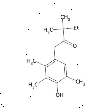 CCC(C)(C)C(=O)Cc1cc(C)c(O)c(C)c1C